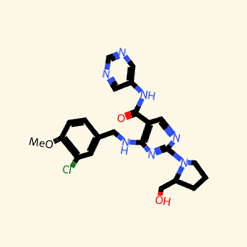 COc1ccc(CNc2nc(N3CCCC3CO)ncc2C(=O)Nc2cncnc2)cc1Cl